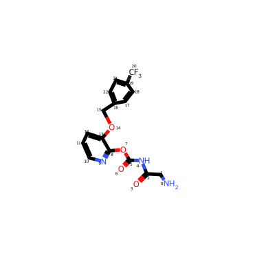 NCC(=O)NC(=O)Oc1ncccc1OCc1ccc(C(F)(F)F)cc1